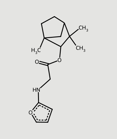 CC12CCC(C1)C(C)(C)C2OC(=O)CNc1ccco1